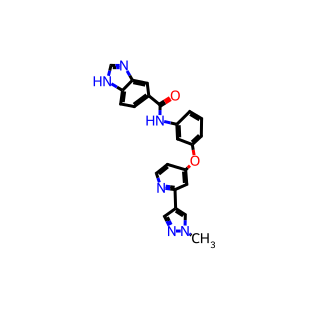 Cn1cc(-c2cc(Oc3cccc(NC(=O)c4ccc5[nH]cnc5c4)c3)ccn2)cn1